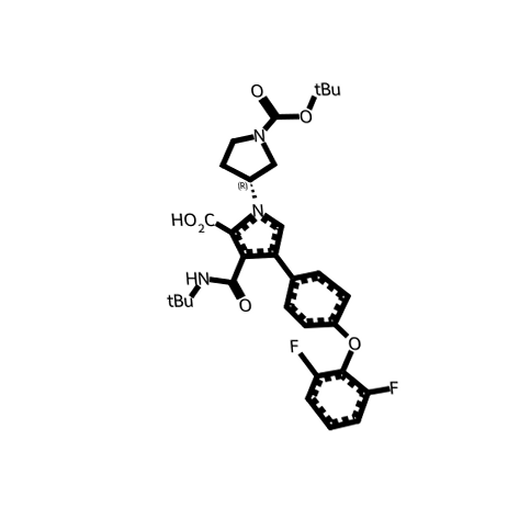 CC(C)(C)NC(=O)c1c(-c2ccc(Oc3c(F)cccc3F)cc2)cn([C@@H]2CCN(C(=O)OC(C)(C)C)C2)c1C(=O)O